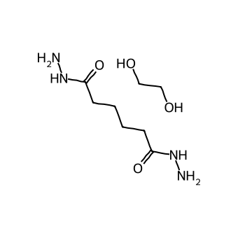 NNC(=O)CCCCC(=O)NN.OCCO